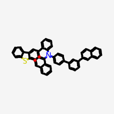 c1cc(-c2ccc(N(c3ccccc3-c3ccc4sc5ccccc5c4c3)c3cccc4ccccc34)cc2)cc(-c2ccc3ccccc3c2)c1